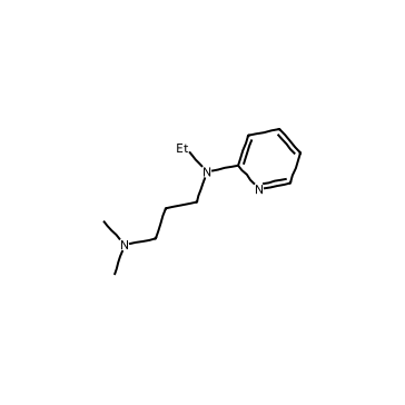 CCN(CCCN(C)C)c1ccccn1